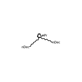 CCCCCCCCCCCCCCCCCc1ccc[n+](CCC)c1CCCCCCCCCCCCCCCCC